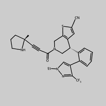 CCn1cc(-c2ccccc2[C@@H]2CN(C(=O)C#C[C@@]3(C)CCCN3)Cc3sc(C#N)cc32)c(C(F)(F)F)n1